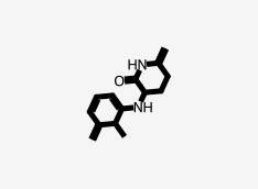 C=C1CCC(NC2=CC=CC(=C)C2C)C(=O)N1